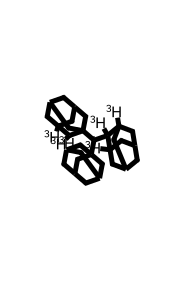 [3H]C12CC3CC(C1)CC([C](C14CC5CC(CC(C5)C1)C4)C1([3H])C4([3H])CC5CC(C4)CC1([3H])C5)(C3)C2([3H])[3H]